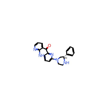 Nc1ncccc1C(=O)c1cccc(N2CCN[C@@H](c3ccccc3)C2)n1